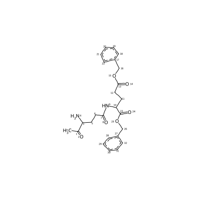 CC(=O)C(N)CCC(=O)NC(CCC(=O)OCc1ccccc1)C(=O)OCc1ccccc1